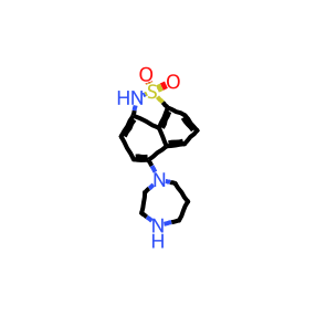 O=S1(=O)Nc2ccc(N3CCCNCC3)c3cccc1c23